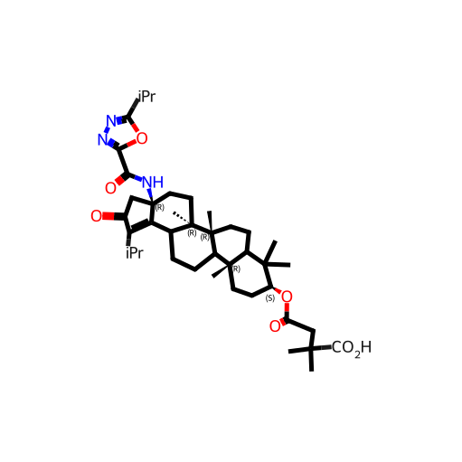 CC(C)C1=C2C3CCC4[C@@]5(C)CC[C@H](OC(=O)CC(C)(C)C(=O)O)C(C)(C)C5CC[C@@]4(C)[C@]3(C)CC[C@@]2(NC(=O)c2nnc(C(C)C)o2)CC1=O